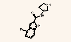 O=C(N[C@H]1CCNC1)c1cc2c(F)cccc2[nH]1